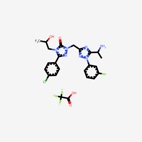 CC(N)c1nc(Cn2nc(-c3ccc(Cl)cc3)n(CC(O)C(F)(F)F)c2=O)nn1-c1cccc(F)c1.O=C(O)C(F)(F)F